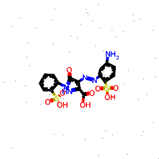 Nc1ccc(S(=O)(=O)O)c(N=Nc2c(C(=O)O)[nH]n(-c3ccccc3S(=O)(=O)O)c2=O)c1